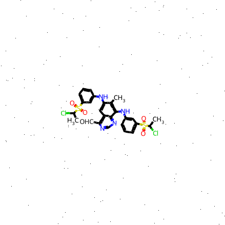 Cc1c(Nc2cccc(S(=O)(=O)C(C)Cl)c2)cc2c(C=O)ncnc2c1Nc1cccc(S(=O)(=O)C(C)Cl)c1